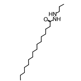 CCCCCCCCCCCCCCCC(=O)NNCCC